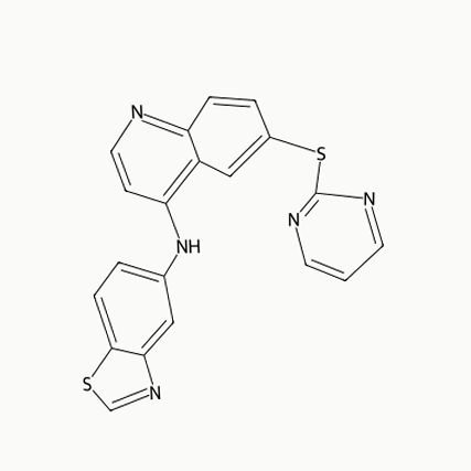 c1cnc(Sc2ccc3nccc(Nc4ccc5scnc5c4)c3c2)nc1